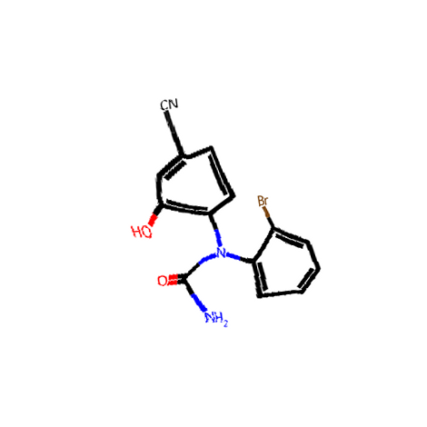 N#Cc1ccc(N(C(N)=O)c2ccccc2Br)c(O)c1